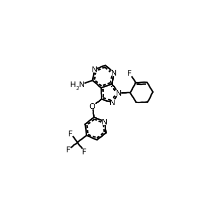 Nc1ncnc2c1c(Oc1cc(C(F)(F)F)ccn1)nn2C1CCCC=C1F